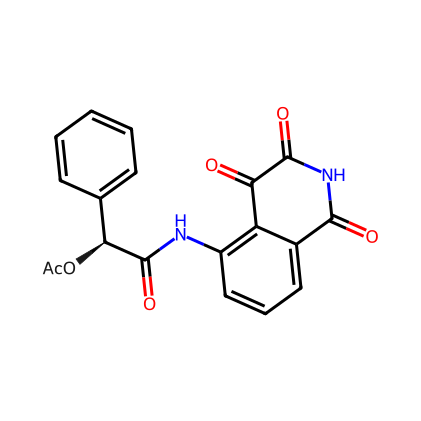 CC(=O)O[C@H](C(=O)Nc1cccc2c1C(=O)C(=O)NC2=O)c1ccccc1